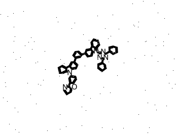 c1ccc(-c2nc(-c3ccccc3)nc(-n3c4ccccc4c4cc(-c5cccc(-c6ccc7c(c6)c6ccccc6n7-c6ccc7oc8cccnc8c7c6)c5)ccc43)n2)cc1